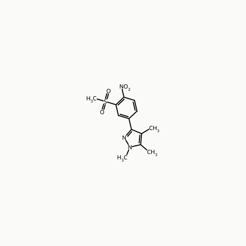 Cc1c(-c2ccc([N+](=O)[O-])c(S(C)(=O)=O)c2)nn(C)c1C